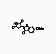 COc1ccc2c(=O)n(C3CC(=O)NC3=O)sc2c1